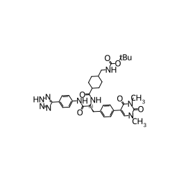 Cn1cc(-c2ccc(C[C@H](NC(=O)C3CCC(CNC(=O)OC(C)(C)C)CC3)C(=O)Nc3ccc(-c4nn[nH]n4)cc3)cc2)c(=O)n(C)c1=O